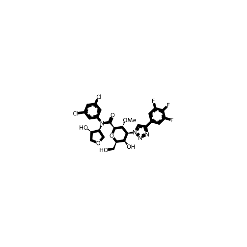 CO[C@@H]1[C@@H](n2cc(-c3cc(F)c(F)c(F)c3)nn2)[C@@H](O)[C@@H](CO)O[C@H]1C(=O)N(c1cc(Cl)cc(Cl)c1)[C@H]1COC[C@@H]1O